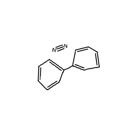 N#N.c1ccc(-c2ccccc2)cc1